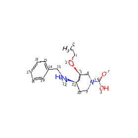 CCO[C@H]1CN(C(=O)O)CC[C@H]1NCc1ccccc1